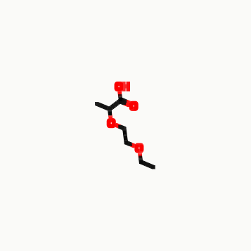 CCOCCOC(C)C(=O)O